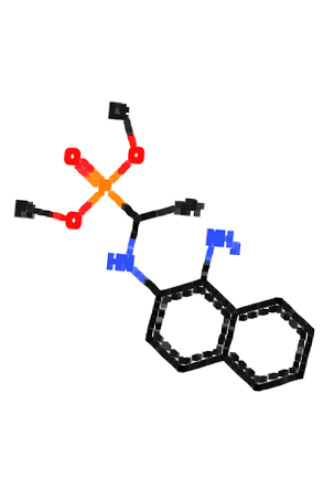 CCCC(Nc1ccc2ccccc2c1N)P(=O)(OCC)OCC